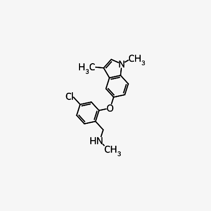 CNCc1ccc(Cl)cc1Oc1ccc2c(c1)c(C)cn2C